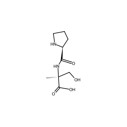 C[C@@](CO)(NC(=O)[C@@H]1CCCN1)C(=O)O